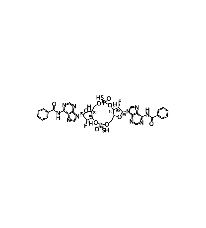 O=C(Nc1ncnc2c1ncn2[C@@H]1O[C@@H]2CO[P@@](=O)(S)O[C@@H]3C(CO[P@@](=O)(S)O[C@H]2[C@H]1F)O[C@@H](n1cnc2c(NC(=O)c4ccccc4)ncnc21)[C@@H]3F)c1ccccc1